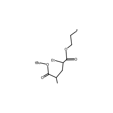 CCC(CC(C)C(=O)OC(C)(C)C)C(=O)OCCF